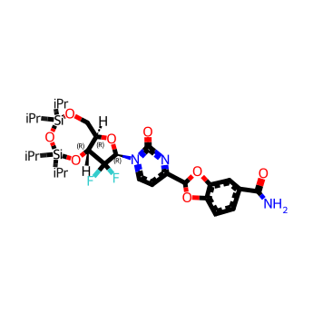 CC(C)[Si]1(C(C)C)OC[C@H]2O[C@@H](n3ccc(C4Oc5ccc(C(N)=O)cc5O4)nc3=O)C(F)(F)[C@@H]2O[Si](C(C)C)(C(C)C)O1